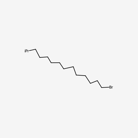 CC(C)CCCCCCCCCCCCBr